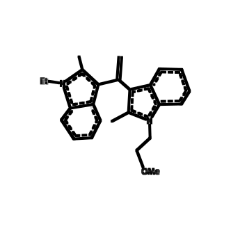 C=C(c1c(C)n(CC)c2ccccc12)c1c(C)n(CCOC)c2ccccc12